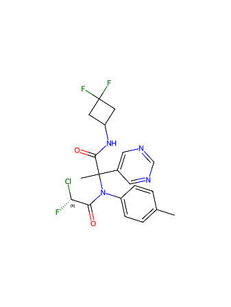 Cc1ccc(N(C(=O)[C@H](F)Cl)C(C)(C(=O)NC2CC(F)(F)C2)c2cncnc2)cc1